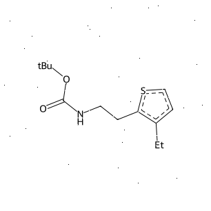 CCc1ccsc1CCNC(=O)OC(C)(C)C